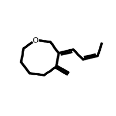 C=C1CCCCOC/C1=C/C=C\C